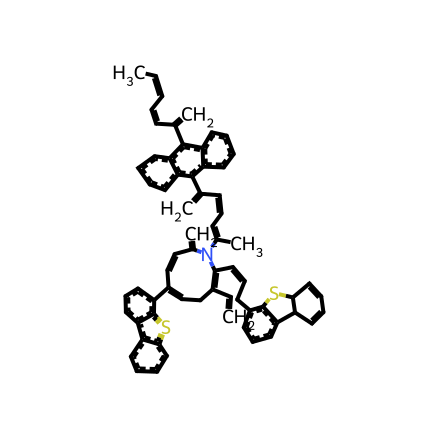 C=C/C1=C(\C=C/Cc2cccc3c2SC2C=CC=CC32)N(/C(C)=C/C=C\C(=C)c2c3ccccc3c(C(=C)/C=C\C=C/C)c3ccccc23)C(=C)/C=C\C(c2cccc3c2sc2ccccc23)=C/C1